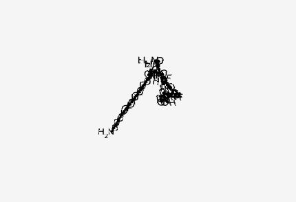 CC[C@@]1(O)C(=O)OCc2c1cc1n(c2=O)Cc2c-1nc1cc(F)c(C)c3c1c2[C@@H](NC(=O)OCc1c(F)cc(NC(=O)[C@H](CCCNC(N)=O)NC(=O)C(NC(=O)CCOCCOCCOCCOCCOCCOCCOCCOCCOCCN)C(C)C)cc1F)CC3